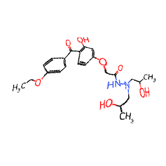 CCOc1ccc(C(=O)c2ccc(OCC(=O)NN(CC(C)O)CC(C)O)cc2O)cc1